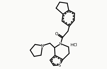 Cl.O=C(Cc1ccc2c(c1)CCC2)N1CCc2sccc2C1CN1CCCC1